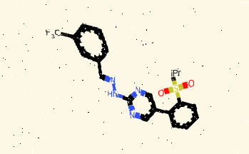 CC(C)S(=O)(=O)c1ccccc1-c1cnc(NN=Cc2cccc(C(F)(F)F)c2)nc1